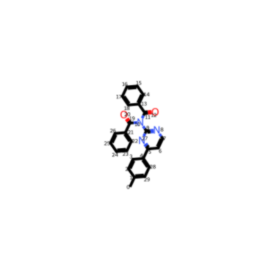 Cc1ccc(-c2ccnc(N(C(=O)c3ccccc3)C(=O)c3ccccc3)n2)cc1